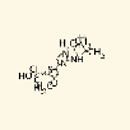 C=C1CC(Nc2nccc(-c3cc(OC)c(CCC(C)(C)O)s3)n2)CC(C)(C)N1